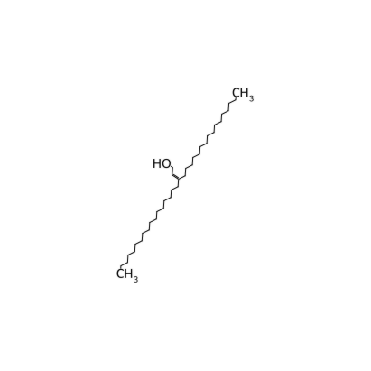 CCCCCCCCCCCCCCCCCC(=CCO)CCCCCCCCCCCCCCCC